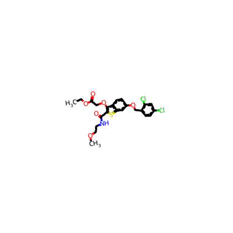 CCOC(=O)COc1c(C(=O)NCCOC)sc2cc(OCc3ccc(Cl)cc3Cl)ccc12